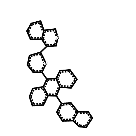 c1cc(-c2cncc3ccccc23)nc(-c2c3ccccc3c(-c3ccc4ccccc4c3)c3ccccc23)c1